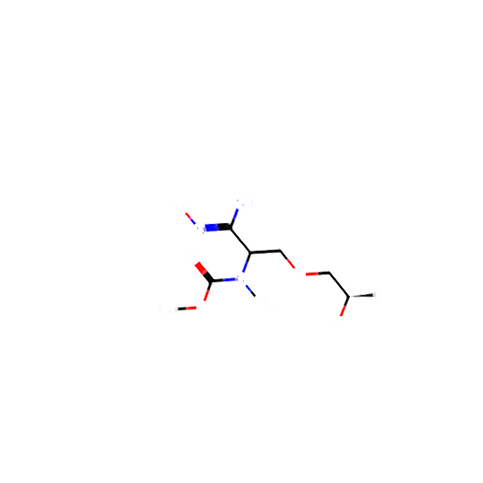 CC[C@@H](O)COCC(/C(N)=N/O)N(C)C(=O)OC(C)(C)C